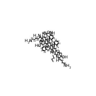 CCCC[C@H](NC(=O)[C@@H](Cc1ccccc1)NC(=O)[C@@H](Cc1ccccc1)NC(=O)[C@@H](Cc1ccc(O)cc1)NC(=O)[C@@H](CC(=O)O)NC(=O)[C@@H](CC(=O)O)NC(=O)[C@H](N)CCCCN)C(=O)N[C@H](CCCCN)C(=O)O